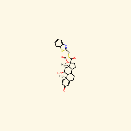 CC12C=CC(=O)C=C1CCC1C2[C@@H](O)CC2(C)C1CC[C@]2(OC=O)C(=O)SCc1nc2ccccc2s1